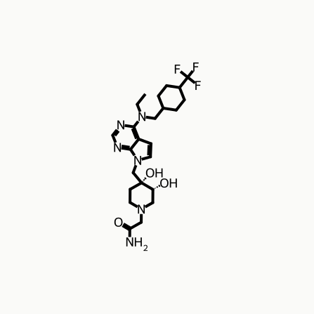 CCN(CC1CCC(C(F)(F)F)CC1)c1ncnc2c1ccn2C[C@]1(O)CCN(CC(N)=O)C[C@H]1O